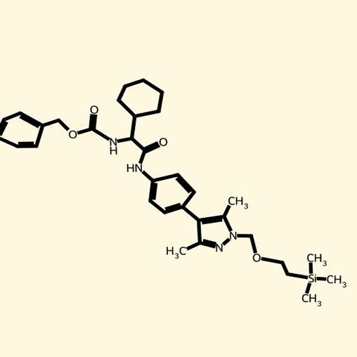 Cc1nn(COCC[Si](C)(C)C)c(C)c1-c1ccc(NC(=O)C(NC(=O)OCc2ccccc2)C2CCCCC2)cc1